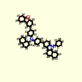 c1ccc(-n2c3ccc(-c4ccc(N(c5ccc(-c6ccc7oc8ccccc8c7c6)cc5)c5cccc6ccccc56)cc4)cc3c3ccc4ccccc4c32)cc1